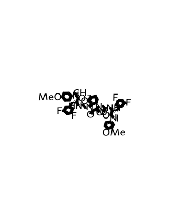 COc1ccc(N(C)C(=O)[C@H](Cc2cc(F)cc(F)c2)NC(=O)Cn2c(=O)c(=O)n(CC(=O)N[C@@H](Cc3cc(F)cc(F)c3)C(=O)N(I)c3ccc(OC)cc3)c3ccccc32)cc1